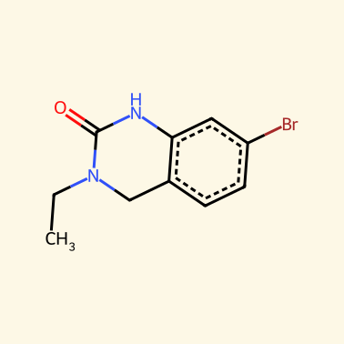 CCN1Cc2ccc(Br)cc2NC1=O